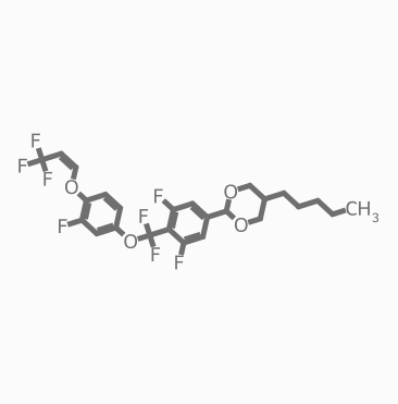 CCCCCC1COC(c2cc(F)c(C(F)(F)Oc3ccc(O/C=C\C(F)(F)F)c(F)c3)c(F)c2)OC1